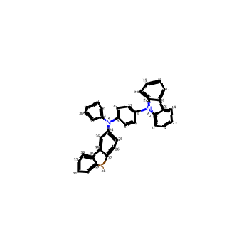 c1ccc(N(c2ccc(-n3c4ccccc4c4ccccc43)cc2)c2ccc3sc4ccccc4c3c2)cc1